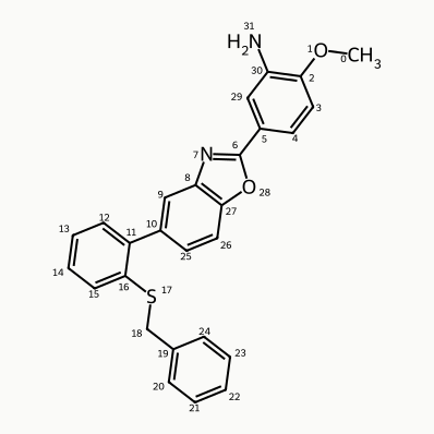 COc1ccc(-c2nc3cc(-c4ccccc4SCc4ccccc4)ccc3o2)cc1N